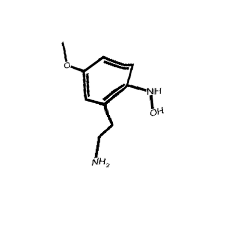 COc1ccc(NO)c(CCN)c1